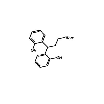 CCCCCCCCCCCCC(c1ccccc1O)c1ccccc1O